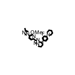 COc1nc(-c2nc3n(n2)CCC[C@@H]3c2ccc(N3CCCCC3)c(F)c2)ccc1-n1cnc(C)c1